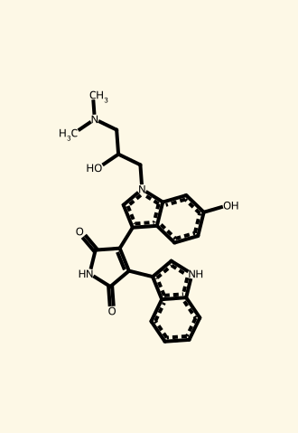 CN(C)CC(O)Cn1cc(C2=C(c3c[nH]c4ccccc34)C(=O)NC2=O)c2ccc(O)cc21